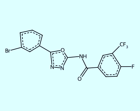 O=C(Nc1nnc(-c2cccc(Br)c2)o1)c1ccc(F)c(C(F)(F)F)c1